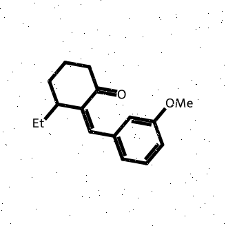 CCC1CCCC(=O)/C1=C\c1cccc(OC)c1